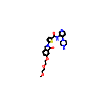 COCCOCCOc1ccc2c(c1)C(=O)N(c1ccc(C(=O)Nc3cnccc3N3CCNCC3)s1)C2